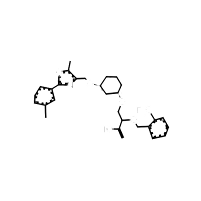 C=C(O)C(CO[C@@H]1CCC[C@H](OCc2nc(-c3cccc(C)c3)oc2C)C1)OCc1ccccc1C(F)(F)F